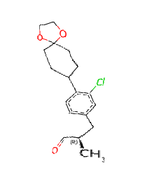 C[C@@H](C=O)Cc1ccc(C2CCC3(CC2)OCCO3)c(Cl)c1